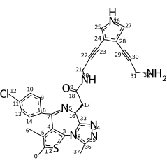 Cc1sc2c(c1C)C(c1ccc(Cl)cc1)=N[C@@H](CC(=O)NCC#Cc1c[nH]cc1C#CCN)c1nnc(C)n1-2